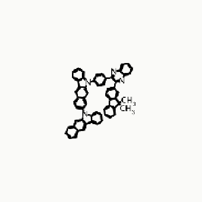 CC1(C)c2ccccc2-c2ccc(-c3nc4ccccc4nc3-c3ccc(-n4c5ccccc5c5cc6ccc(-n7c8ccccc8c8cc9ccccc9cc87)cc6cc54)cc3)cc21